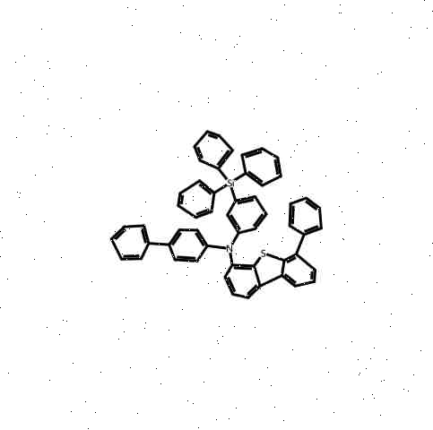 c1ccc(-c2ccc(N(c3cccc([Si](c4ccccc4)(c4ccccc4)c4ccccc4)c3)c3cccc4c3sc3c(-c5ccccc5)cccc34)cc2)cc1